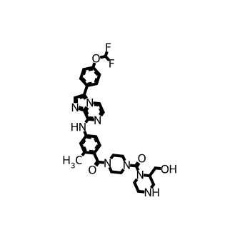 Cc1cc(Nc2nccn3c(-c4ccc(OC(F)F)cc4)cnc23)ccc1C(=O)N1CCN(C(=O)N2CCNCC2CO)CC1